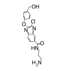 NCCCNC(=O)c1ccc2nc(Oc3ccc(CO)cc3)c(Cl)nc2c1